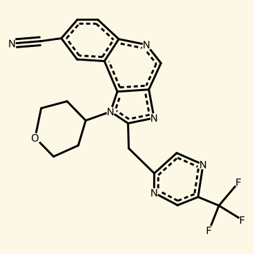 N#Cc1ccc2ncc3nc(Cc4cnc(C(F)(F)F)cn4)n(C4CCOCC4)c3c2c1